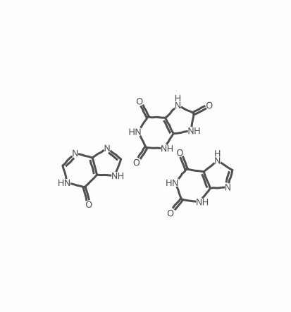 O=c1[nH]c(=O)c2[nH]c(=O)[nH]c2[nH]1.O=c1[nH]c(=O)c2[nH]cnc2[nH]1.O=c1[nH]cnc2nc[nH]c12